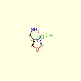 Cl.Cl.NCc1cocn1